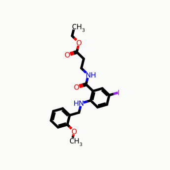 CCOC(=O)CCNC(=O)c1cc(I)ccc1NCc1ccccc1OC